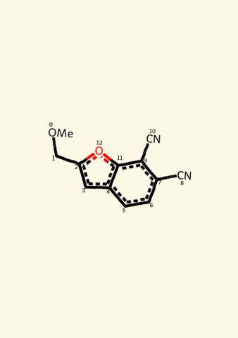 CO[CH]c1cc2ccc(C#N)c(C#N)c2o1